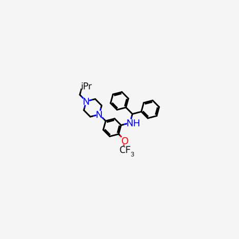 CC(C)CN1CCN(c2ccc(OC(F)(F)F)c(NC(c3ccccc3)c3ccccc3)c2)CC1